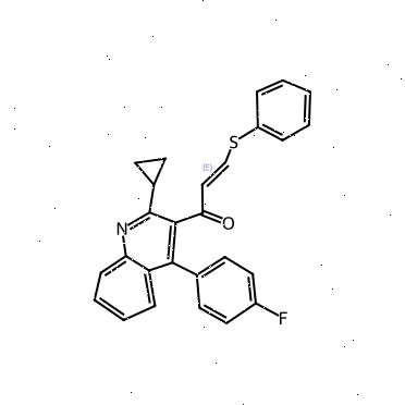 O=C(/C=C/Sc1ccccc1)c1c(C2CC2)nc2ccccc2c1-c1ccc(F)cc1